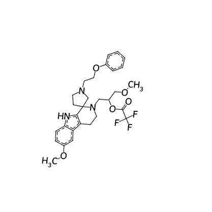 COCC(CN1CCc2c([nH]c3ccc(OC)cc23)C12CCN(CCOc1ccccc1)C2)OC(=O)C(F)(F)F